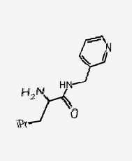 CC(C)CC(N)C(=O)NCc1cccnc1